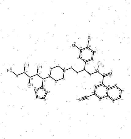 CN(C[C@@H](CCN1CCN([C@@H](c2ccco2)[C@H](O)[C@@H](O)[C@H](O)CO)CC1)c1ccc(Cl)c(Cl)c1)C(=O)c1cc(C#N)cc2ccccc12